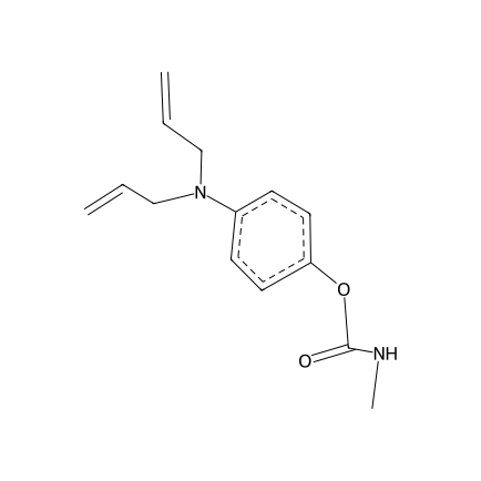 C=CCN(CC=C)c1ccc(OC(=O)NC)cc1